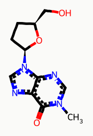 Cn1cnc2c(ncn2[C@H]2CC[C@@H](CO)O2)c1=O